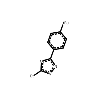 CCc1nnc(-c2ccc(C(C)(C)C)cc2)o1